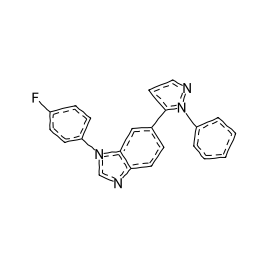 Fc1ccc(-n2cnc3ccc(-c4ccnn4-c4ccccc4)cc32)cc1